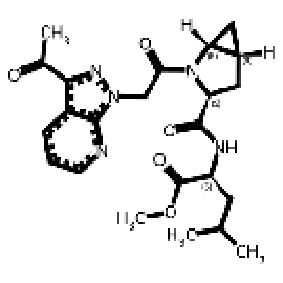 COC(=O)[C@H](CC(C)C)NC(=O)[C@@H]1C[C@H]2C[C@H]2N1C(=O)Cn1nc(C(C)=O)c2cccnc21